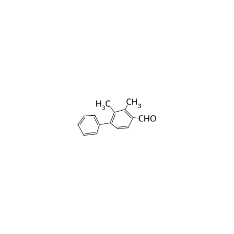 Cc1c(C=O)ccc(-c2ccccc2)c1C